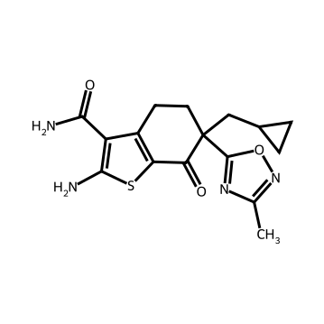 Cc1noc(C2(CC3CC3)CCc3c(sc(N)c3C(N)=O)C2=O)n1